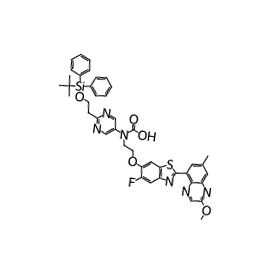 COc1cnc2c(-c3nc4cc(F)c(OCCN(C(=O)O)c5cnc(CCO[Si](c6ccccc6)(c6ccccc6)C(C)(C)C)nc5)cc4s3)cc(C)cc2n1